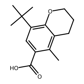 Cc1c(C(=O)O)cc(C(C)(C)C)c2c1CCCO2